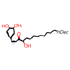 CCCCCCCCCCCCCCCCCCCC(O)C(=O)/C=C\c1ccc(O)c(O)c1